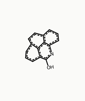 Oc1nc2cccc3ccc4cccc1c4c32